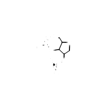 O=[N+]([O-])OC1COC(Cl)C1O[N+](=O)[O-]